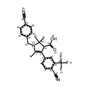 CC1=C(c2ccc(C#N)c(C(F)(F)F)c2)C(C(=O)O)C(C)(C)N1Cc1ccc(C#N)cc1